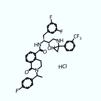 CC(c1ccc(F)cc1)N1CCc2c(C(=O)N[C@@H](Cc3cc(F)cc(F)c3)[C@H](O)CNC3(c4cccc(C(F)(F)F)c4)CC3)cccc2C1=O.Cl